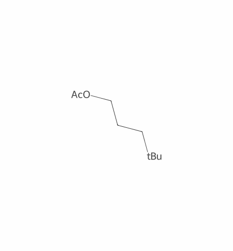 CC(=O)OCCCC(C)(C)C